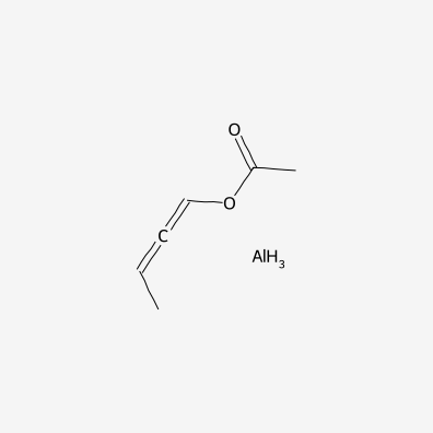 CC=C=COC(C)=O.[AlH3]